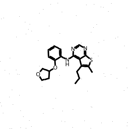 CCCc1c(C)sc2ncnc(Nc3ccccc3OC3CCOC3)c12